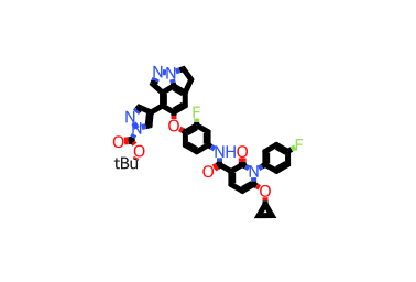 CC(C)(C)OC(=O)n1cc(-c2c(Oc3ccc(NC(=O)c4ccc(OC5CC5)n(-c5ccc(F)cc5)c4=O)cc3F)cc3c4c2cnn4CC3)cn1